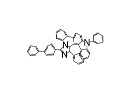 c1ccc(-c2ccc(-c3nc(-c4ccccc4)c4c5c(ccc6c5c5ccccc5n6-c5ccccc5)c5ccccc5n34)cc2)cc1